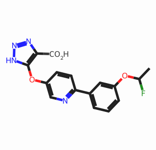 CC(F)Oc1cccc(-c2ccc(Oc3[nH]nnc3C(=O)O)cn2)c1